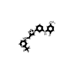 Cc1ccc(F)c(Nc2cccc(-n3cc(CNc4ccnc(C(F)(F)F)c4)nn3)c2)c1